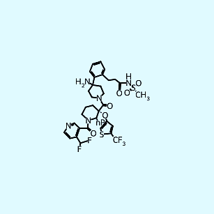 CCC[C@H]1N(C(=O)c2cnccc2C(F)F)CCC[C@@]1(Oc1csc(C(F)(F)F)c1)C(=O)N1CCC(N)(c2ccccc2CCC(=O)NS(C)(=O)=O)CC1